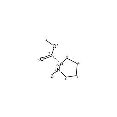 COC(=O)[C@@H]1CCCCN1C